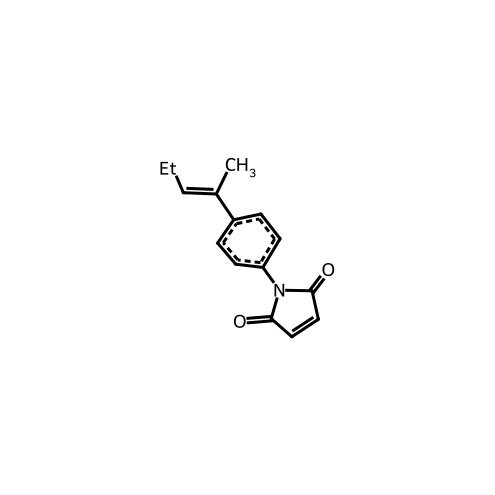 CCC=C(C)c1ccc(N2C(=O)C=CC2=O)cc1